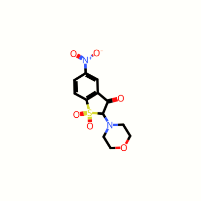 O=C1c2cc([N+](=O)[O-])ccc2S(=O)(=O)C1N1CCOCC1